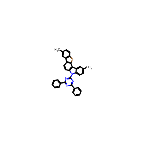 Cc1ccc2sc3c(ccc4c3c3cc(C)ccc3n4-c3nc(-c4ccccc4)nc(-c4ccccc4)n3)c2c1